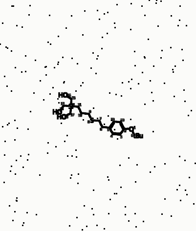 CC(C)(C)Oc1ccc(CCSCCC[Si](CO)(CO)CO)cc1